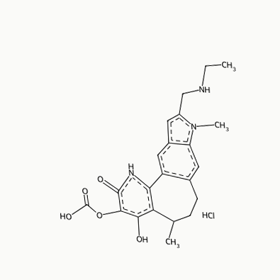 CCNCc1cc2cc3c(cc2n1C)CCC(C)c1c-3[nH]c(=O)c(OC(=O)O)c1O.Cl